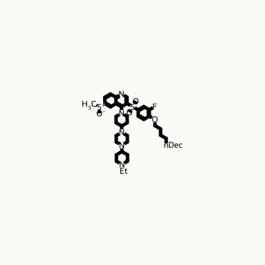 CCCCCCCCCCCCCCOc1ccc(S(=O)(=O)c2cnc3ccc([S+](C)[O-])cc3c2N2CCC(N3CCN(C4CCN(CC)CC4)CC3)CC2)cc1F